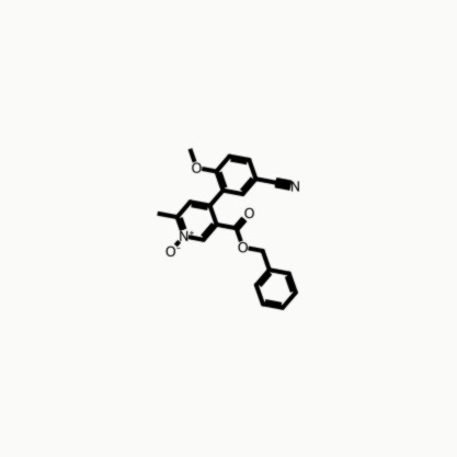 COc1ccc(C#N)cc1-c1cc(C)[n+]([O-])cc1C(=O)OCc1ccccc1